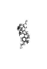 CCCC1=CC=C(/C(F)=C(\F)c2ccc(CCC)c(F)c2F)C(F)(F)C1(F)F